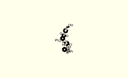 CC(C)Oc1cc2c(cc1Nc1ncc(Cl)c(Nc3ccccc3S(=O)(=O)C(C)C)n1)C(=O)N(C1CCN(CCO)CC1)C2=O